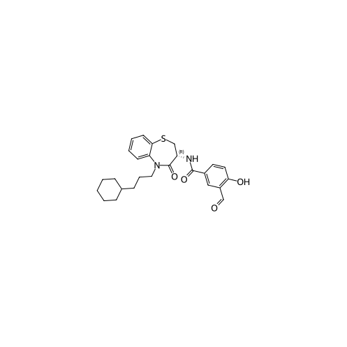 O=Cc1cc(C(=O)N[C@H]2CSc3ccccc3N(CCCC3CCCCC3)C2=O)ccc1O